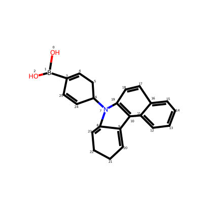 OB(O)C1=CCC(n2c3c(c4c5ccccc5ccc42)=CCCC=3)C=C1